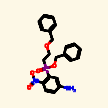 Nc1ccc([N+](=O)[O-])c(P(=O)(CCOCc2ccccc2)OCc2ccccc2)c1